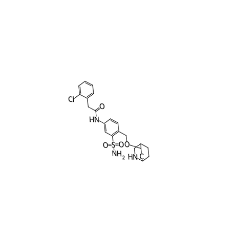 NS(=O)(=O)c1cc(NC(=O)Cc2ccccc2Cl)ccc1COC1CC2CCC1CN2